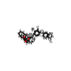 C=CC(=O)N1CC2CCC(C1)N2c1ccc2ncnc(Nc3ccc(Oc4cnc5c(c4)ncn5C)c(C)c3F)c2n1